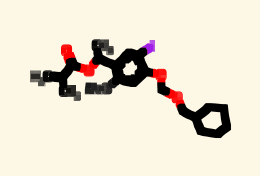 C=C(C)C(=O)OC(C)c1cc(I)c(OCOCC2CCCCC2)cc1OC